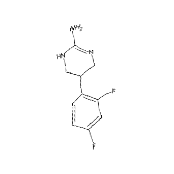 NC1=NCC(c2ccc(F)cc2F)CN1